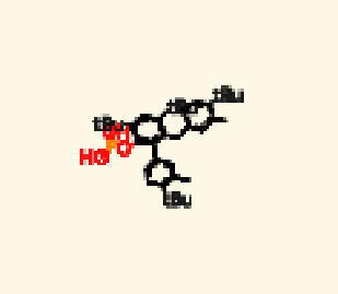 Cc1cc(Cc2c(C(C)(C)C)cc(C(C)(C)C)c(OP(O)O)c2-c2ccc(C(C)(C)C)c(C)c2)ccc1C(C)(C)C